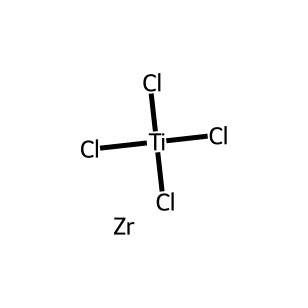 [Cl][Ti]([Cl])([Cl])[Cl].[Zr]